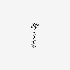 O=C1CCC(=O)N1C=CCCCCCCCCCCO